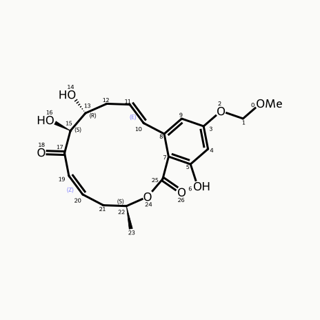 COCOc1cc(O)c2c(c1)/C=C/C[C@@H](O)[C@H](O)C(=O)/C=C\C[C@H](C)OC2=O